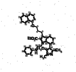 CCOC(=O)c1c(CCCOc2cccc3ccccc23)c2cccc(-c3c(C)nn(C)c3C)c2n1CCNc1ccccc1